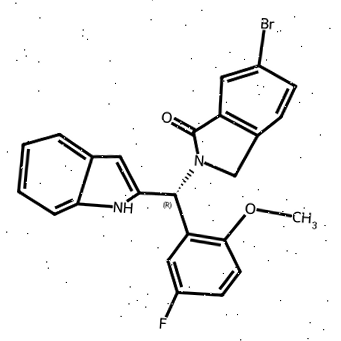 COc1ccc(F)cc1[C@H](c1cc2ccccc2[nH]1)N1Cc2ccc(Br)cc2C1=O